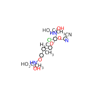 Cc1c(OCc2cc(OCc3cncc(C#N)c3)c(CNC(C)(CO)C(=O)O)cc2Cl)cccc1-c1cccc(-c2ccc(OCCNC(C)(CO)C(=O)O)cc2)c1C